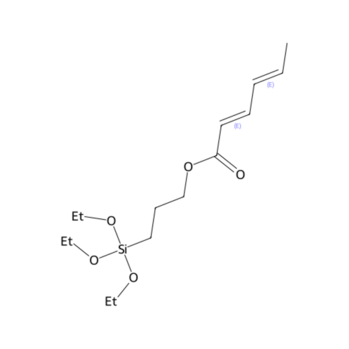 C/C=C/C=C/C(=O)OCCC[Si](OCC)(OCC)OCC